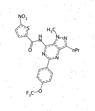 CCCc1nn(C)c2c(NC(=O)c3ccc([N+](=O)[O-])s3)nc(-c3ccc(OC(F)(F)F)cc3)nc12